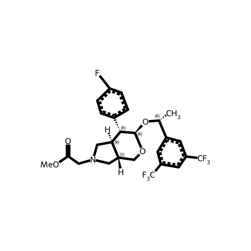 COC(=O)CN1C[C@H]2CO[C@H](O[C@H](C)c3cc(C(F)(F)F)cc(C(F)(F)F)c3)[C@@H](c3ccc(F)cc3)[C@@H]2C1